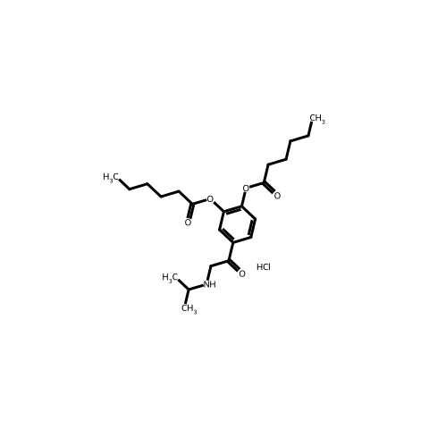 CCCCCC(=O)Oc1ccc(C(=O)CNC(C)C)cc1OC(=O)CCCCC.Cl